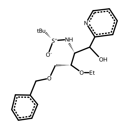 CCO[C@H](COCc1ccccc1)[C@H](N[S@+]([O-])C(C)(C)C)C(O)c1ccccn1